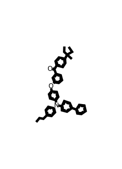 CCCc1ccc(N(c2ccc(Oc3cccc(C(=O)c4ccc(C(C)(CC)CC)cc4)c3)cc2)c2ccc(-c3ccccc3)cc2)cc1